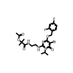 CC(=O)OC(C)(C)C(=O)NCCNc1nc(OCc2ccc(F)cc2F)c(Br)c(=O)n1C(C)C